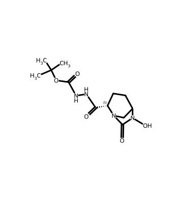 CC(C)(C)OC(=O)NNC(=O)[C@@H]1CCC2CN1C(=O)N2O